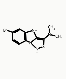 CN(C)C1=C2Nc3cc(Br)ccc3N2NS1